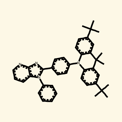 CC(C)(C)c1ccc2c(c1)C(C)(C)c1cc(C(C)(C)C)ccc1N2c1ccc(-c2nc3ncccc3n2-c2ccccc2)cc1